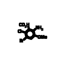 COc1cc(Br)c(Cl)c(C(=O)O)c1N